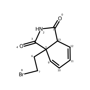 O=C1NC(=O)C2(CCBr)C=CC=CC12